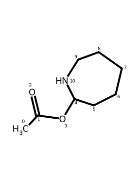 CC(=O)OC1CCCCCN1